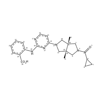 C[C@@]12CN(C(=O)C3CC3)C[C@]1(C)CN(c1ccnc(Nc3ccccc3C(=O)O)n1)C2